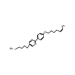 CCC/C=C\CCCCOc1ccc(-c2ncc(CCCCC[C@@H](C)CC)cn2)cc1